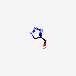 O=CC1=NN=NC1